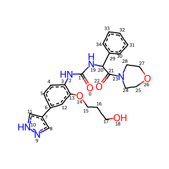 O=C(Nc1ccc(-c2cn[nH]c2)cc1OCCCO)NC(C(=O)N1CCOCC1)c1ccccc1